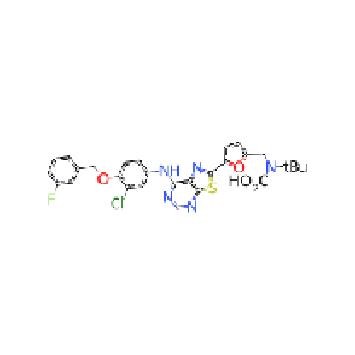 CC(C)(C)N(Cc1ccc(-c2nc3c(Nc4ccc(OCc5cccc(F)c5)c(Cl)c4)ncnc3s2)o1)C(=O)O